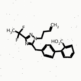 C=CCCn1nc(C(C)(F)F)nc1Cc1ccc(-c2ccccc2C(=O)O)cc1